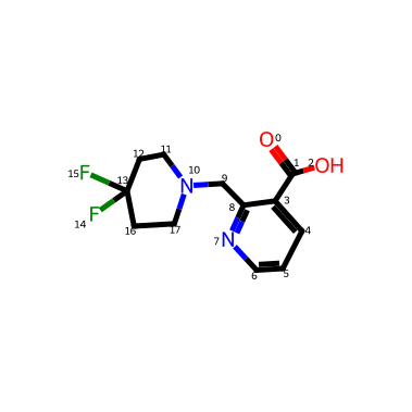 O=C(O)c1cccnc1CN1CCC(F)(F)CC1